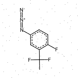 CC(F)(F)c1cc(N=[N+]=[N-])ccc1F